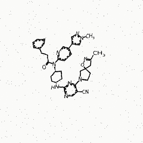 CC1=NOC2(CCN(c3nc(N[C@H]4CC[C@H](N(C(=O)CCc5ccccc5)c5ccc(-c6cnn(C)c6)cn5)CC4)ncc3C#N)C2)C1